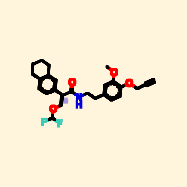 C#CCOc1ccc(CCNC(=O)/C(=C/OC(F)F)c2ccc3c(c2)CCCC3)cc1OC